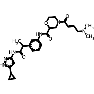 CC(C(=O)Nc1cc(C2CC2)[nH]n1)c1cccc(NC(=O)C2CN(C(=O)/C=C/CN(C)C)CCO2)c1